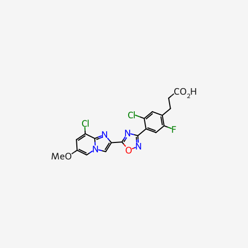 COc1cc(Cl)c2nc(-c3nc(-c4cc(F)c(CCC(=O)O)cc4Cl)no3)cn2c1